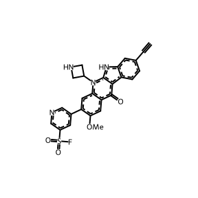 C#Cc1ccc2c(c1)[nH]c1c2c(=O)c2cc(OC)c(-c3cncc(S(=O)(=O)F)c3)cc2n1C1CNC1